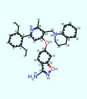 CCc1cccc(CC)c1-c1cc(Oc2ccc3c(N)noc3c2)c(CN2CCCc3ccccc32)c(C)n1